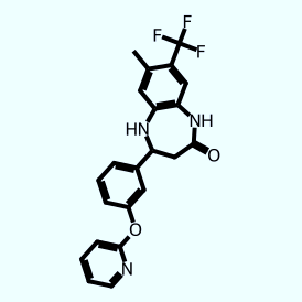 Cc1cc2c(cc1C(F)(F)F)NC(=O)CC(c1cccc(Oc3ccccn3)c1)N2